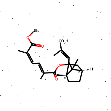 CC(=CC1(OC(=O)C(C)=CC=C(C)C(=O)OC(C)(C)C)C[C@H]2CC[C@@]1(C)C2(C)C)C(=O)O